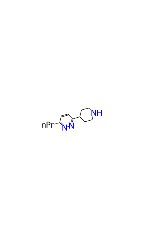 CCCc1ccc(C2CCNCC2)nn1